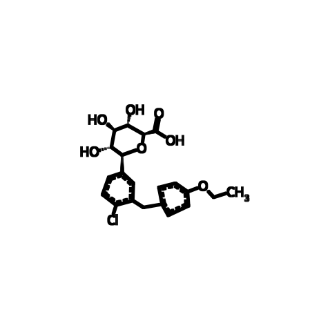 CCOc1ccc(Cc2cc([C@@H]3O[C@H](C(=O)O)[C@@H](O)[C@H](O)[C@H]3O)ccc2Cl)cc1